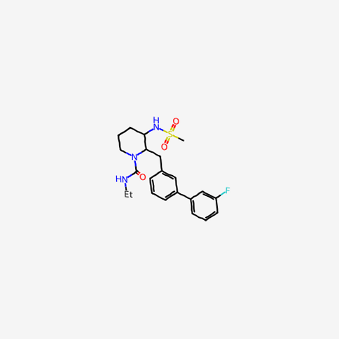 CCNC(=O)N1CCCC(NS(C)(=O)=O)C1Cc1cccc(-c2cccc(F)c2)c1